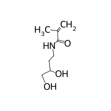 C=C(C)C(=O)NCCC(O)CO